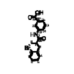 CC(Cc1ccccc1Br)C(=O)Nc1cccc(C(=O)O)c1